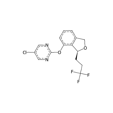 FC(F)(F)CC[C@@H]1OCc2cccc(Oc3ncc(Cl)cn3)c21